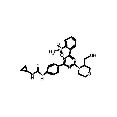 CS(=O)(=O)c1ccccc1-c1nc(-c2ccc(NC(=O)NC3CC3)cc2)nc(N2CCOCC2CO)n1